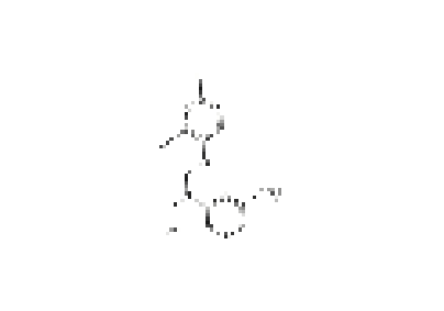 CC(=O)CN(COc1ccc(F)cc1Cl)c1cccc(C(=O)O)c1